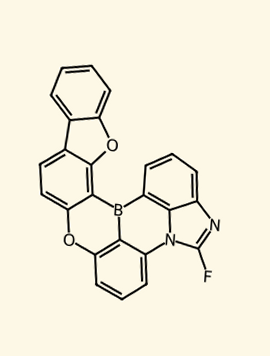 Fc1nc2cccc3c2n1-c1cccc2c1B3c1c(ccc3c1oc1ccccc13)O2